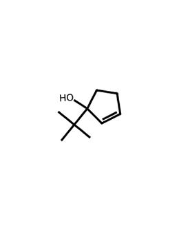 CC(C)(C)C1(O)C=CCC1